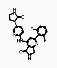 O=C1NCc2nc(-c3c(F)cccc3F)cc(Nc3ccc([C@H]4CCNC4=O)cn3)c21